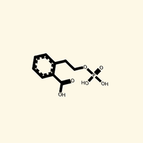 O=C(O)c1ccccc1CCOP(=O)(O)O